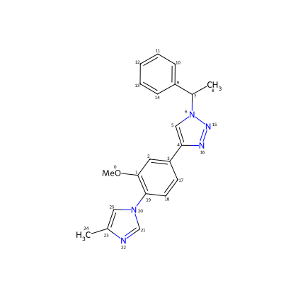 COc1cc(-c2cn(C(C)c3ccccc3)nn2)ccc1-n1cnc(C)c1